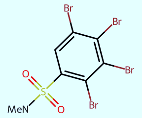 CNS(=O)(=O)c1cc(Br)c(Br)c(Br)c1Br